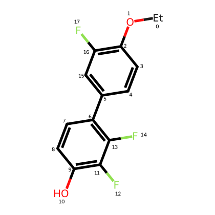 CCOc1ccc(-c2ccc(O)c(F)c2F)cc1F